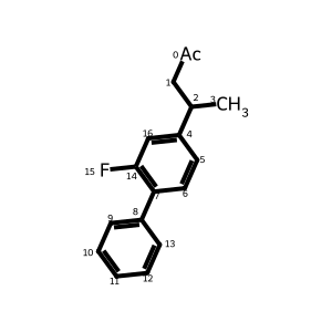 CC(=O)CC(C)c1ccc(-c2ccccc2)c(F)c1